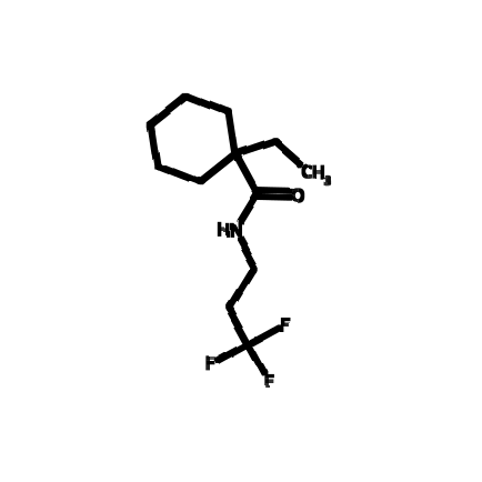 CCC1(C(=O)NCCC(F)(F)F)CCCCC1